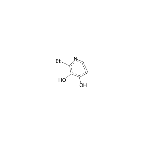 CCc1nccc(O)c1O